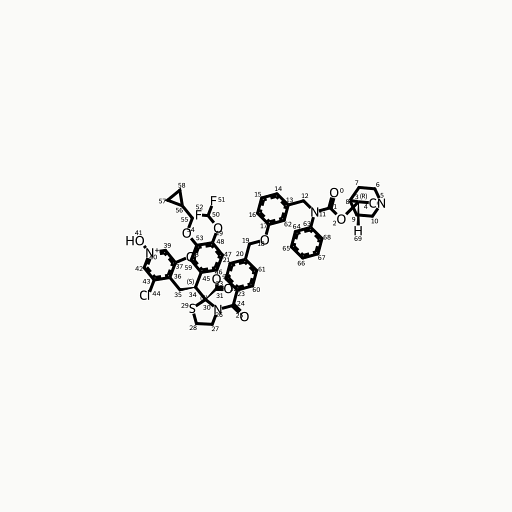 O=C(O[C@H]1CN2CCC1CC2)N(Cc1cccc(OCc2ccc(C(=O)N3CCS[C@]3(C(=O)[O-])[C@@H](Cc3c(Cl)c[n+](O)cc3Cl)c3ccc(OC(F)F)c(OCC4CC4)c3)cc2)c1)c1ccccc1